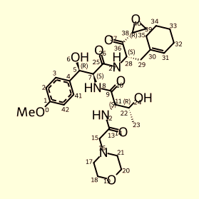 COc1ccc([C@@H](O)[C@H](NC(=O)[C@@H](NC(=O)CN2CCOCC2)[C@@H](C)O)C(=O)N[C@@H](CC2=CCCCC2)C(=O)[C@H]2CO2)cc1